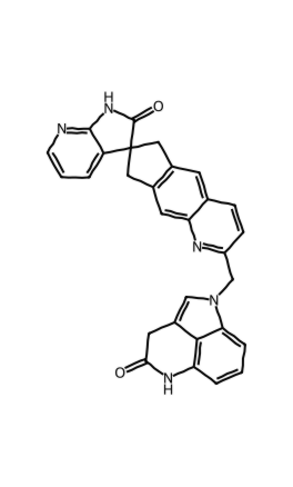 O=C1Cc2cn(Cc3ccc4cc5c(cc4n3)CC3(C5)C(=O)Nc4ncccc43)c3cccc(c23)N1